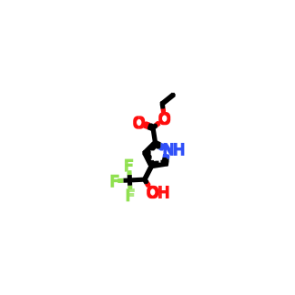 CCOC(=O)c1cc(C(O)C(F)(F)F)c[nH]1